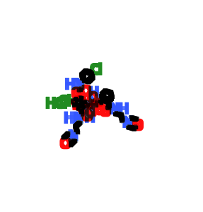 Cl.O=C(Nc1ccc(Cl)cc1)OC1CC2CCC1C(C(=O)NC(=O)C1C3CCC(CC3OC(=O)Nc3ccc(Cl)cc3)C1C(=O)NCCCN1CCOCC1)C2C(=O)NCCCN1CCOCC1